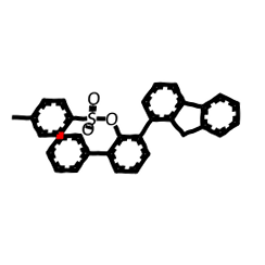 Cc1ccc(S(=O)(=O)Oc2c(-c3ccccc3)cccc2-c2cccc3c2Cc2ccccc2-3)cc1